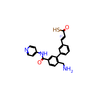 NCc1ccc(C(=O)Nc2ccncc2)cc1-c1cccc(/C=C/C(=O)S)c1